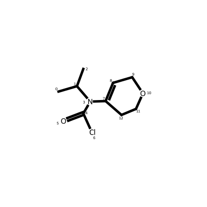 CC(C)N(C(=O)Cl)C1=CCOCC1